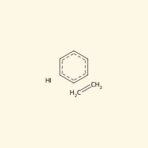 C=C.I.c1ccccc1